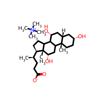 C[C@H](CCC(=O)[O-])[C@H]1CCC2C3C(C[C@H](O)[C@@]21C)[C@@]1(C)CC[C@@H](O)C[C@H]1C[C@H]3O.C[N+](C)(C)C